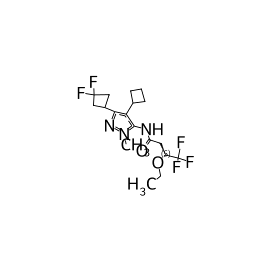 CCO[C@@H](CC(=O)Nc1c(C2CCC2)c(C2CC(F)(F)C2)nn1C)C(F)(F)F